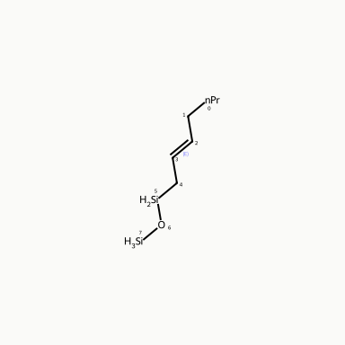 CCCC/C=C/C[SiH2]O[SiH3]